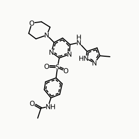 CC(=O)Nc1ccc(S(=O)(=O)c2nc(Nc3cc(C)n[nH]3)cc(N3CCOCC3)n2)cc1